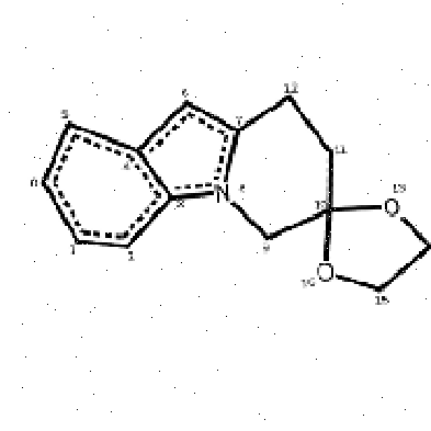 c1ccc2c(c1)cc1n2CC2(CC1)OCCO2